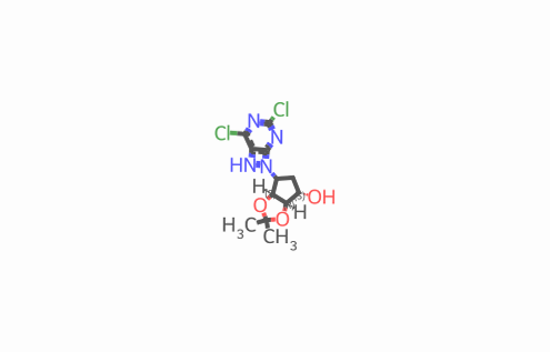 CC1(C)O[C@@H]2[C@@H](O)CC(n3[nH]c4c(Cl)nc(Cl)nc43)[C@@H]2O1